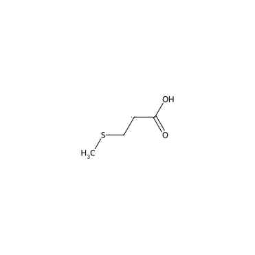 CSC[CH]C(=O)O